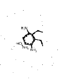 CCc1c(N)ccc(N)c1CC.NO